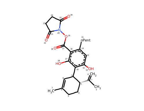 C=C(C)[C@@H]1CCC(C)=CC1c1c(O)cc(CCCCC)c(C(=O)ON2C(=O)CCC2=O)c1O